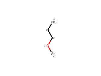 CC(=O)OCCN=O